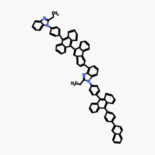 CCc1nc2ccccc2n1-c1ccc(-c2c3ccccc3c(-c3cc4ccc(-c5cccc6c5nc(CC)n6-c5ccc(-c6c7ccccc7c(-c7ccc(-c8ccc9ccccc9c8)cc7)c7ccccc67)cc5)cc4c4ccccc34)c3ccccc23)cc1